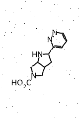 O=C(O)N1CC2CC(c3cccnn3)NC2C1